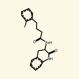 O=C(CCCc1ccccc1F)[AsH]C1Cc2ccccc2NC1=O